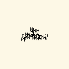 CC(=O)N1Cc2cn3c(-c4cnc[nH]4)c(-c4nc(C(F)(F)F)n[nH]4)nc3nc2C1